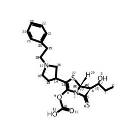 CC[C@H](O)[C@H]1C(=S)N2C(OC(=O)O)=C(C3CCN(CCc4ccccc4)C3)S[C@H]12